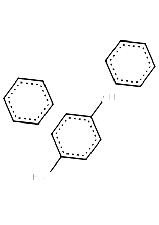 Cc1ccc(C)cc1.c1ccccc1.c1ccccc1